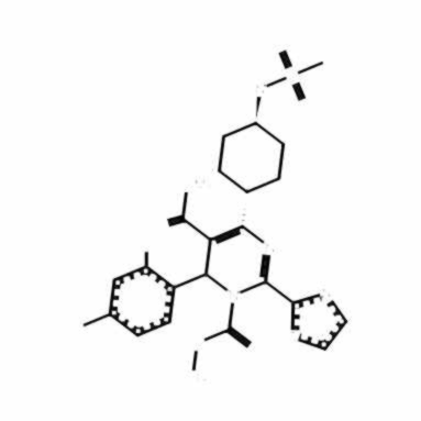 COC(=O)C1=C([C@H]2CC[C@H](NS(C)(=O)=O)CC2)N=C(c2nccs2)N(C(=O)OC(C)(C)C)C1c1ccc(F)cc1Cl